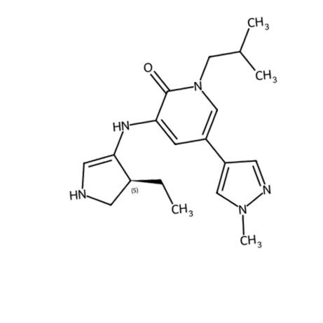 CC[C@H]1CNC=C1Nc1cc(-c2cnn(C)c2)cn(CC(C)C)c1=O